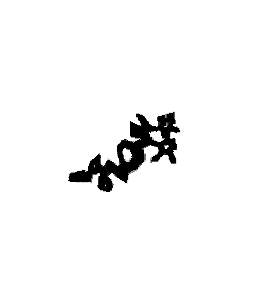 Cc1sc2c(c1C)C(c1ccc(/C=C/C(=O)OC(C)(C)C)cc1)=NC(C)c1nnc(C)n1-2